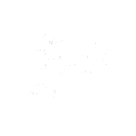 O=C(c1ccc2c(c1)OCO2)N1CCn2cccc2C1c1ccc(Cl)c(Cl)c1